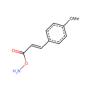 COc1ccc(C=CC(=O)ON)cc1